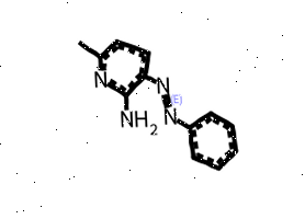 Cc1ccc(/N=N/c2ccccc2)c(N)n1